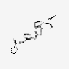 CCCNC(=O)n1ccc2cc(Oc3ccnc(NC(=O)N4CCCC4)c3)ccc21